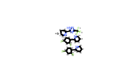 FC(F)(F)c1n[nH]c(-c2ccccn2)n1.Fc1ccc(-c2ccccn2)c(F)c1.Fc1ccc(-c2ccccn2)c(F)c1.[Ir]